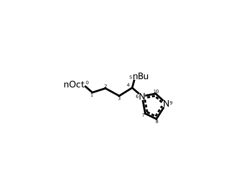 CCCCCCCCCCCC(CCCC)n1ccnc1